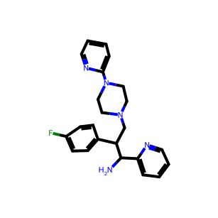 NC(c1ccccn1)C(CN1CCN(c2ccccn2)CC1)c1ccc(F)cc1